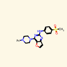 CC(=O)N1CCN(c2nc(Nc3ccc(S(C)(=O)=O)cc3)nc3ccoc23)CC1